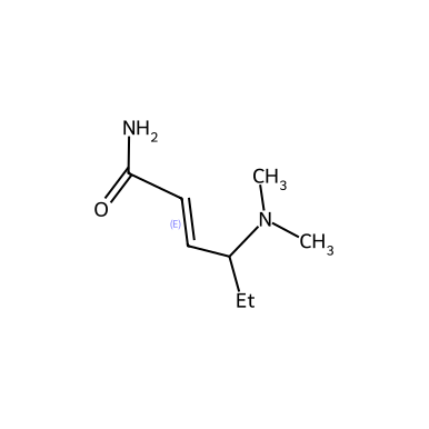 CCC(/C=C/C(N)=O)N(C)C